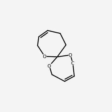 C1=CCOC2(CC1)OCC=CCO2